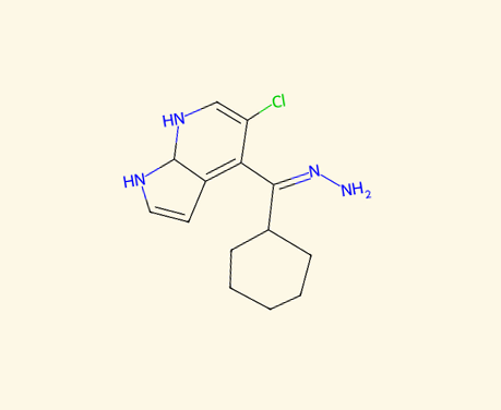 N/N=C(/C1=C2C=CNC2NC=C1Cl)C1CCCCC1